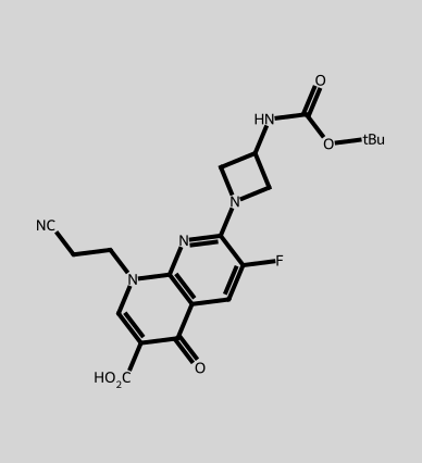 CC(C)(C)OC(=O)NC1CN(c2nc3c(cc2F)c(=O)c(C(=O)O)cn3CCC#N)C1